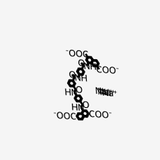 O=C([O-])c1cc(NC(=O)c2ccc(NC(=O)c3cccc(C(=O)Nc4ccc(C(=O)Nc5cc(C(=O)[O-])cc6ccc(C(=O)[O-])cc56)cc4)c3)cc2)c2cc(C(=O)[O-])ccc2c1.[Na+].[Na+].[Na+].[Na+]